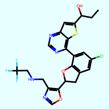 CCC(O)c1cc2ncnc(-c3cc(Cl)cc4c3OC(c3ocnc3CNCC(F)(F)F)C4)c2s1